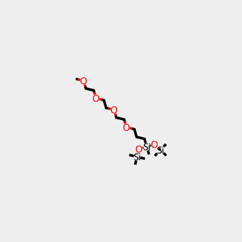 COCCOCCOCCOCCC[Si](C)(O[Si](C)(C)C)O[Si](C)(C)C